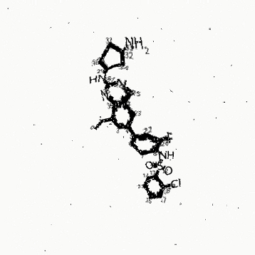 CCc1cc(-c2ccc(NS(=O)(=O)c3ccccc3Cl)c(F)c2)cc2cnc(NC3CC[C@@H](N)C3)nc12